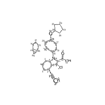 C#Cc1cccc2c1c(Cl)c(C(=O)O)n2-c1ccc(OC2CCCC2)cc1.c1cc2cc-2c1